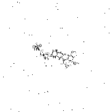 COc1cc(OC)cc(N(CC2CC2)c2ccc3ncc(-c4cnn(CCNS(C)(=O)=O)c4)nc3c2)c1